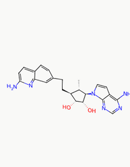 C[C@H]1[C@H](CCc2ccc3ccc(N)nc3c2)[C@@H](O)[C@@H](O)[C@@H]1n1ccc2c(N)ncnc21